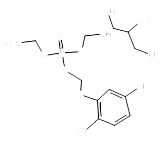 CCOP(=S)(OCC)SCSc1cc(Cl)ccc1Cl.OC(CS)CCl